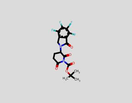 CC(C)(C)OC(=O)N1C(=O)CCC(N2Cc3c(F)c(F)c(F)c(F)c3C2=O)C1=O